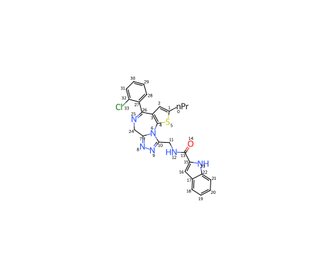 CCCc1cc2c(s1)-n1c(nnc1CNC(=O)c1cc3ccccc3[nH]1)CN=C2c1ccccc1Cl